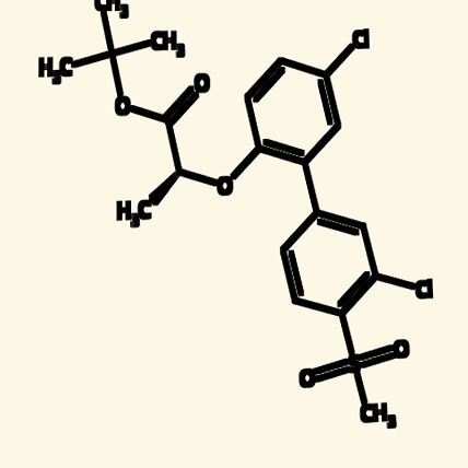 C[C@H](Oc1ccc(Cl)cc1-c1ccc(S(C)(=O)=O)c(Cl)c1)C(=O)OC(C)(C)C